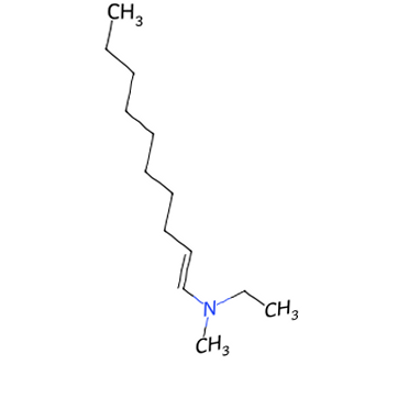 CCCCCCCC/C=C/N(C)CC